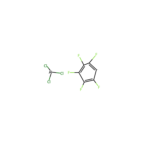 Fc1[c]c(F)c(F)c(F)c1F.[Cl][Al]([Cl])[Cl]